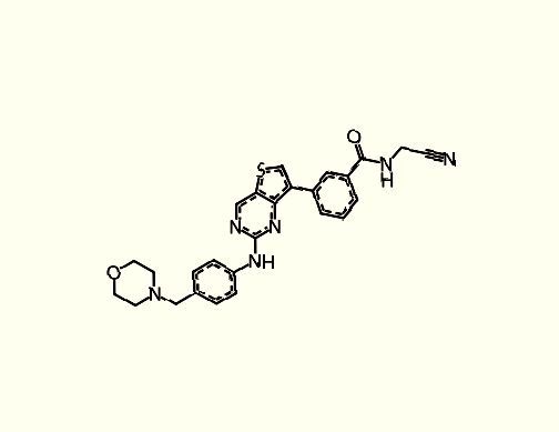 N#CCNC(=O)c1cccc(-c2csc3cnc(Nc4ccc(CN5CCOCC5)cc4)nc23)c1